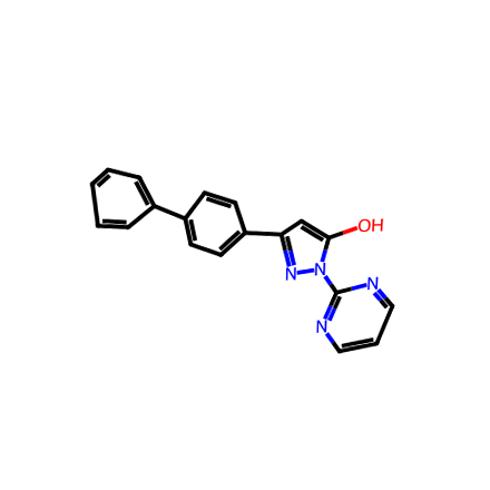 Oc1cc(-c2ccc(-c3ccccc3)cc2)nn1-c1ncccn1